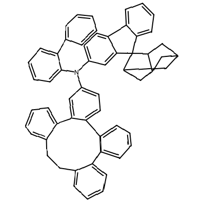 c1ccc(-c2ccccc2N(c2ccc3c(c2)-c2ccccc2CCc2ccccc2-c2ccccc2-3)c2ccc3c(c2)C2(c4ccccc4-3)C3CC4CC(C3)C2C4)cc1